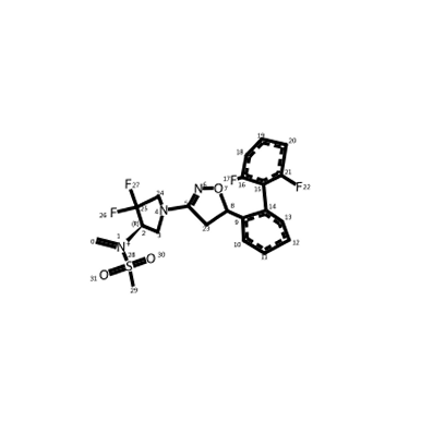 C=[N+]([C@@H]1CN(C2=NOC(c3ccccc3-c3c(F)cccc3F)C2)CC1(F)F)S(C)(=O)=O